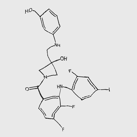 O=C(c1ccc(F)c(F)c1Nc1ccc(I)cc1F)N1CC(O)(CNc2cccc(O)c2)C1